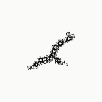 COC(=O)[C@H](Cc1ccc(-c2ccc(C#N)cc2)cc1)NC(=O)C1Cc2cc3c(cc2CN1Cc1ccn(C)n1)O[C@@H](c1ccc(OCc2ccc(Cl)c(Cl)c2)cc1)CO3